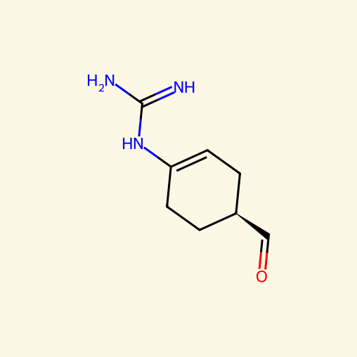 N=C(N)NC1=CC[C@@H](C=O)CC1